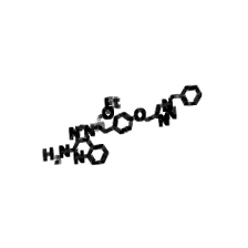 CCOC[C@H](Cc1ccc(OCc2cn(Cc3ccccc3)nn2)cc1)n1cnc2c(N)nc3ccccc3c21